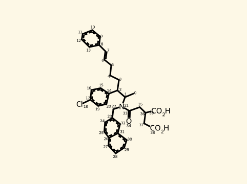 CC(C(CCC/C=C/c1ccccc1)c1ccc(Cl)cc1)N(Cc1ccc2ccccc2c1)C(=O)CC(CC(=O)O)C(=O)O